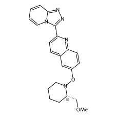 COC[C@@H]1CCCCN1Oc1ccc2nc(-c3nnc4ccccn34)ccc2c1